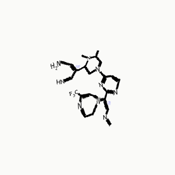 C=N/C=C(/c1nccc(N2CC(C)N(C)C(/C(C=N)=C/N)C2)n1)N1C=C(C(F)(F)F)N=CC1